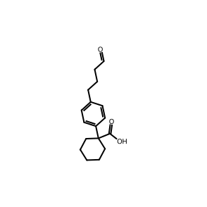 O=CCCCc1ccc(C2(C(=O)O)CCCCC2)cc1